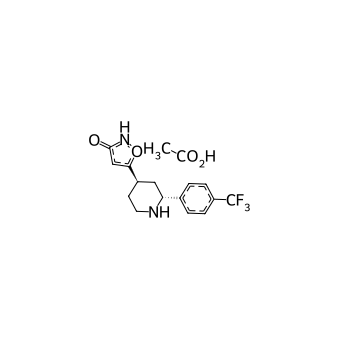 CC(=O)O.O=c1cc([C@@H]2CCN[C@@H](c3ccc(C(F)(F)F)cc3)C2)o[nH]1